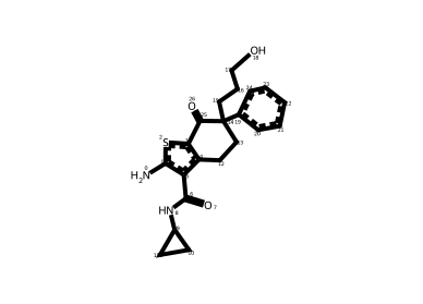 Nc1sc2c(c1C(=O)NC1CC1)CCC(CCCO)(c1ccccc1)C2=O